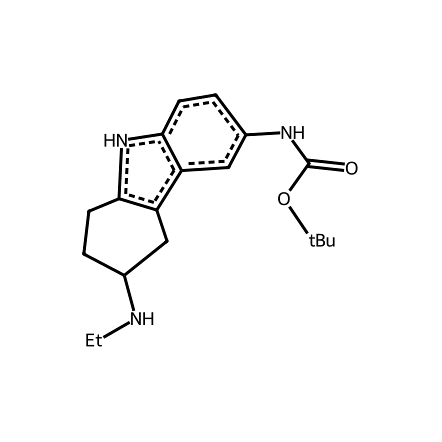 CCNC1CCc2[nH]c3ccc(NC(=O)OC(C)(C)C)cc3c2C1